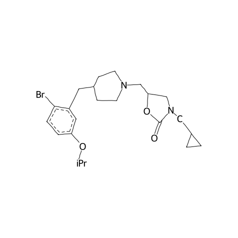 CC(C)Oc1ccc(Br)c(CC2CCN(CC3CN(CC4CC4)C(=O)O3)CC2)c1